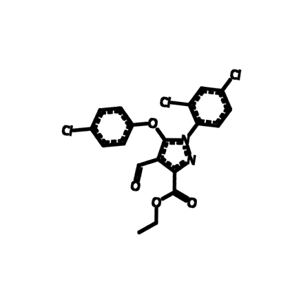 CCOC(=O)c1nn(-c2ccc(Cl)cc2Cl)c(Oc2ccc(Cl)cc2)c1C=O